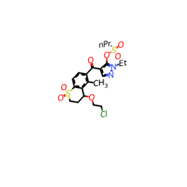 CCCS(=O)(=O)Oc1c(C(=O)c2ccc3c(c2C)C(OCCCl)CCS3(=O)=O)cnn1CC